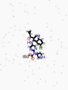 CC(C)(C)OC(=O)N(c1ncc(Nc2c(C(=O)C3CC3)cnc3ccc(Br)cc23)cn1)C1CCNC1